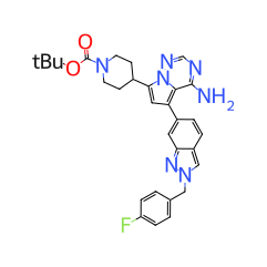 CC(C)(C)OC(=O)N1CCC(c2cc(-c3ccc4cn(Cc5ccc(F)cc5)nc4c3)c3c(N)ncnn23)CC1